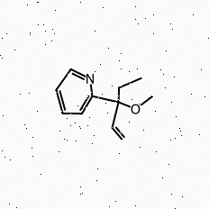 C=CC(CC)(OC)c1ccccn1